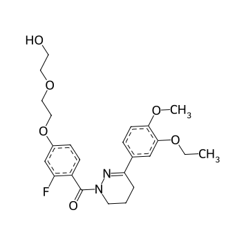 CCOc1cc(C2=NN(C(=O)c3ccc(OCCOCCO)cc3F)CCC2)ccc1OC